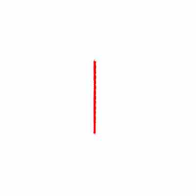 C[CH]CCCCCCCCCCCCCCCCCCCCCCCCCCCCCCCCCCCCCCCCCCCCCCCCCCCCCCCCCCCCCCCCCCCCC